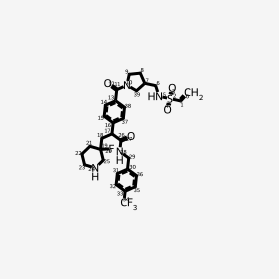 C=CS(=O)(=O)NCC1CCN(C(=O)c2ccc(C(CC3(F)CCCNC3)C(=O)NCc3ccc(C(F)(F)F)cc3)cc2)C1